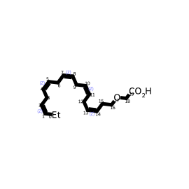 CC/C=C\C/C=C\C/C=C\C/C=C\C/C=C\CCOCC(=O)O